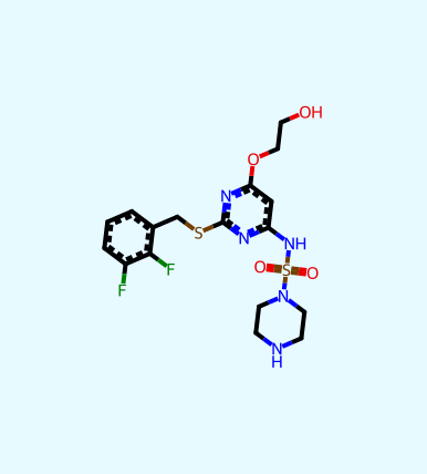 O=S(=O)(Nc1cc(OCCO)nc(SCc2cccc(F)c2F)n1)N1CCNCC1